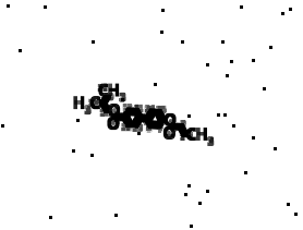 CCCC(=O)Oc1ccc(-c2ccc(C(=O)OCC(C)CC)cc2)cc1